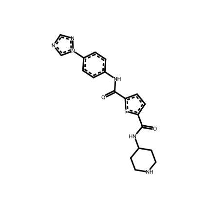 O=C(Nc1ccc(-n2cncn2)cc1)c1ccc(C(=O)NC2CCNCC2)s1